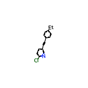 CCc1ccc(C#Cc2ccc(Cl)nc2)cc1